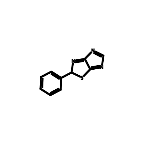 C1=NC2=NC(c3ccccc3)SC2=N1